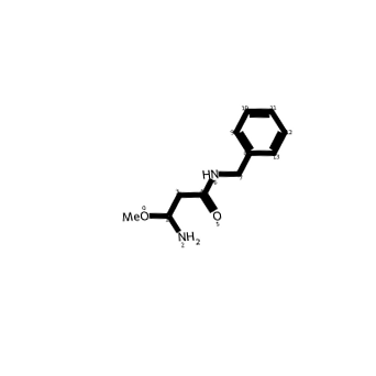 COC(N)CC(=O)NCc1ccccc1